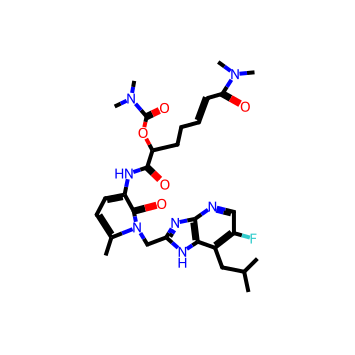 Cc1ccc(NC(=O)C(CCC=CC(=O)N(C)C)OC(=O)N(C)C)c(=O)n1Cc1nc2ncc(F)c(CC(C)C)c2[nH]1